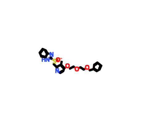 Cc1c(OCCOCCOCc2ccccc2)ccnc1C[S+]([O-])c1nc2ccccc2[nH]1